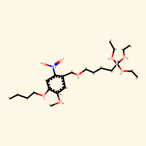 CCCCOc1cc([N+](=O)[O-])c(COCCCC[Si](OCC)(OCC)OCC)cc1OC